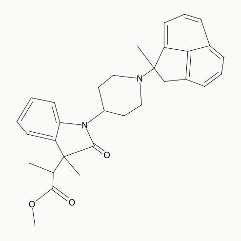 COC(=O)C(C)C1(C)C(=O)N(C2CCN(C3(C)Cc4cccc5cccc3c45)CC2)c2ccccc21